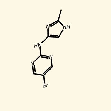 Cc1nc(Nc2ncc(Br)cn2)c[nH]1